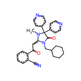 CN1C(=CC(=O)c2ccccc2C#N)N(CC2CCCCC2)C(=O)C1(c1ccncc1)c1ccncc1